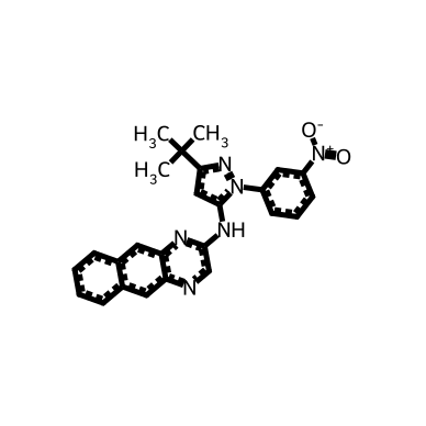 CC(C)(C)c1cc(Nc2cnc3cc4ccccc4cc3n2)n(-c2cccc([N+](=O)[O-])c2)n1